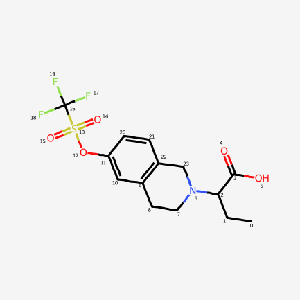 CCC(C(=O)O)N1CCc2cc(OS(=O)(=O)C(F)(F)F)ccc2C1